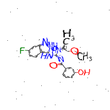 COC[C@H](C)N/C(=N/C(=O)c1cccc(O)c1)Nc1[nH]nc2cc(F)ccc12